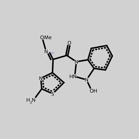 CO/N=C(\C(=O)N1NN(O)c2ccccc21)c1csc(N)n1